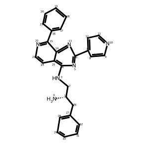 N[C@H](CNc1nc(-c2ccncc2)nc2c(-c3ccccc3)nccc12)Cc1ccccc1